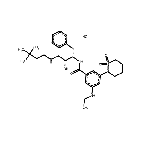 CCNc1cc(C(=O)N[C@@H](Cc2ccccc2)[C@H](O)CNCCC(C)(C)C)cc(N2CCCCS2(=O)=O)c1.Cl